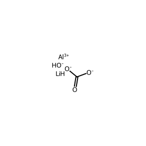 O=C([O-])[O-].[Al+3].[LiH].[OH-]